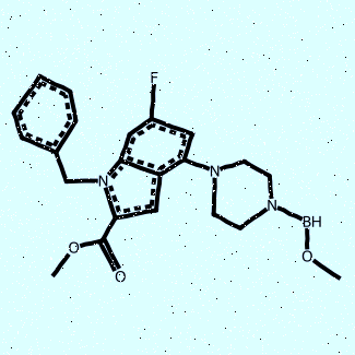 COBN1CCN(c2cc(F)cc3c2cc(C(=O)OC)n3Cc2ccccc2)CC1